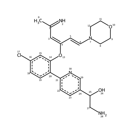 CC(=N)/C=C(\C=C\N1CCOCC1)Oc1cc(Cl)ccc1-c1ccc(C(O)CN)cn1